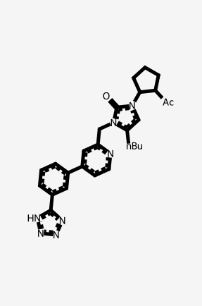 CCCCc1cn(C2CCCC2C(C)=O)c(=O)n1Cc1cc(-c2cccc(-c3nnn[nH]3)c2)ccn1